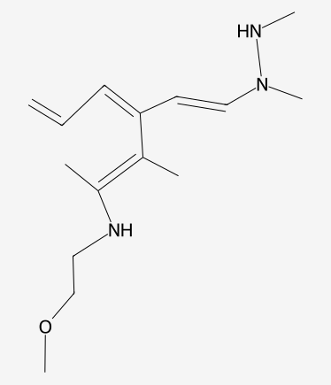 C=C/C=C(/C=C/N(C)NC)C(\C)=C(/C)NCCOC